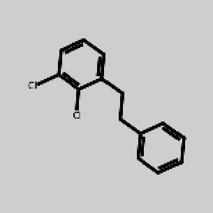 Clc1cccc(CCc2ccccc2)c1Cl